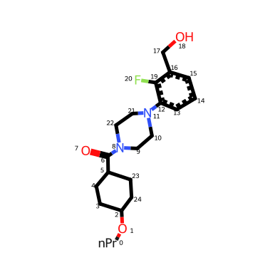 CCCOC1CCC(C(=O)N2CCN(c3cccc(CO)c3F)CC2)CC1